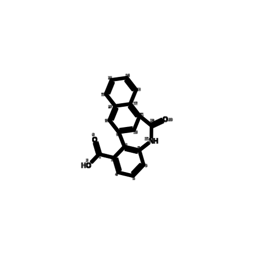 O=C(O)c1cccc2c1-c1cc(c3ccccc3c1)C(=O)N2